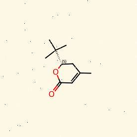 CC1=CC(=O)O[C@H](C(C)(C)C)C1